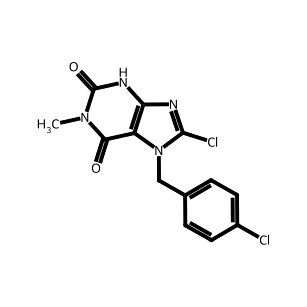 Cn1c(=O)[nH]c2nc(Cl)n(Cc3ccc(Cl)cc3)c2c1=O